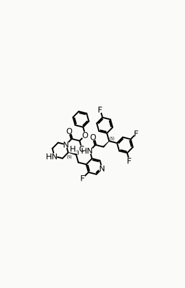 CC(Oc1ccccc1)C(=O)N1CCNC[C@@H]1CCc1c(F)cncc1NC(=O)C[C@@H](c1ccc(F)cc1)c1cc(F)cc(F)c1